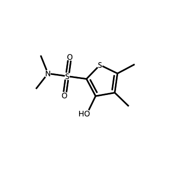 Cc1sc(S(=O)(=O)N(C)C)c(O)c1C